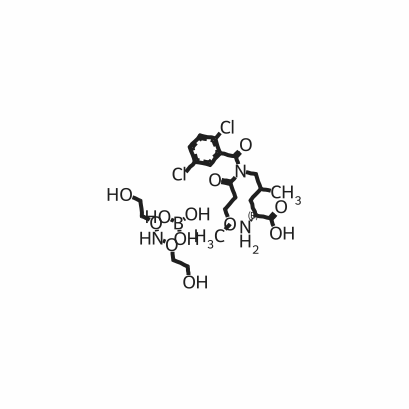 COCCC(=O)N(CC(C)C[C@@H](N)C(=O)O)C(=O)c1cc(Cl)ccc1Cl.OB(O)O.OCCONOCCO